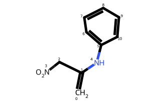 C=C(C[N+](=O)[O-])Nc1ccccc1